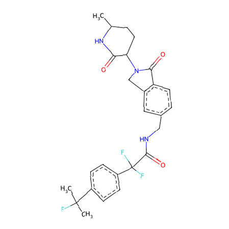 CC1CCC(N2Cc3cc(CNC(=O)C(F)(F)c4ccc(C(C)(C)F)cc4)ccc3C2=O)C(=O)N1